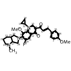 COc1ccc(/C=C/C(=O)c2cn(C3CC3)c3c(OC)c(N4CC5CCCN(C)C5C4)c(F)cc3c2=O)cc1